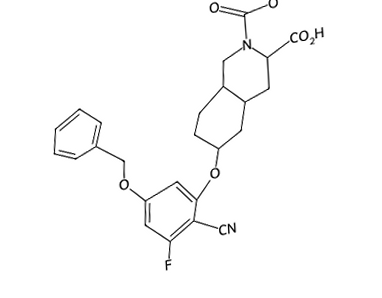 CC(C)(C)OC(=O)N1CC2CCC(Oc3cc(OCc4ccccc4)cc(F)c3C#N)CC2CC1C(=O)O